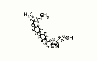 CCCCC(CCC)Oc1ccc(-c2ccc(C3CCCC(C#N)(CCCCCO)C3)cc2)cc1